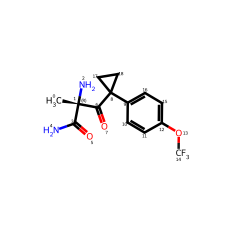 C[C@](N)(C(N)=O)C(=O)C1(c2ccc(OC(F)(F)F)cc2)CC1